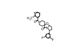 Cc1ncccc1C(=O)N1CCC2(CC1)OC1CCC(c3cc(F)cc(F)c3)N1C2=O